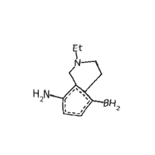 Bc1ccc(N)c2c1CCN(CC)C2